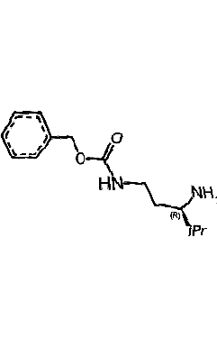 CC(C)[C@H](N)CCNC(=O)OCc1ccccc1